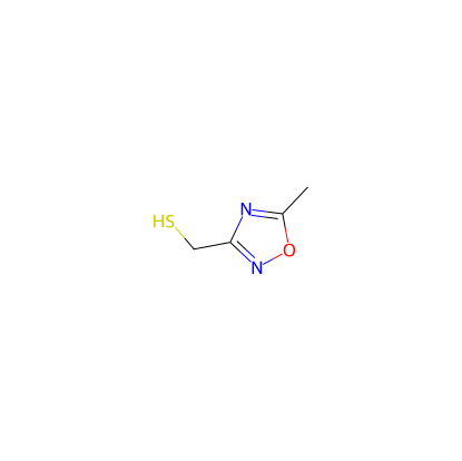 Cc1nc(CS)no1